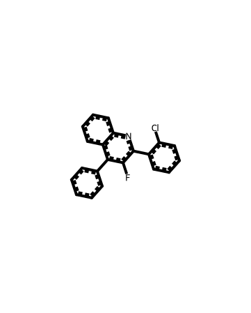 Fc1c(-c2ccccc2Cl)nc2ccccc2c1-c1ccccc1